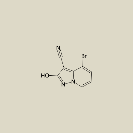 N#Cc1c(O)nn2cccc(Br)c12